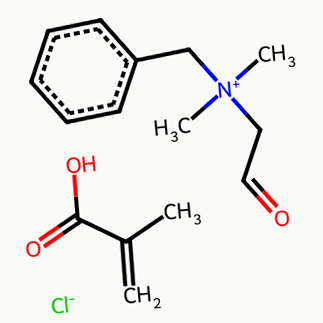 C=C(C)C(=O)O.C[N+](C)(CC=O)Cc1ccccc1.[Cl-]